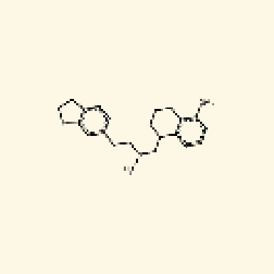 COc1cccc2c1CCCC2CN(C)CCc1ccc2c(c1)SCC2